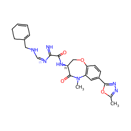 Cc1nnc(-c2ccc3c(c2)N(C)C(=O)[C@@H](NC(=O)C(=N)/N=C\NCC2=CC=CCC2)CO3)o1